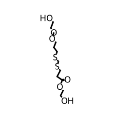 O=C(CCSCSCCCOOCCO)OCCO